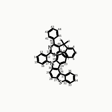 CC1(C)c2ccccc2-c2nc(-c3ccccc3-n3c4ccccc4c4c5c(ccc43)sc3ccccc35)nc(-c3ccccc3)c21